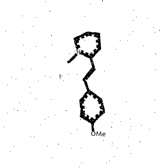 COc1ccc(C=Cc2cccc[n+]2C)cc1.[I-]